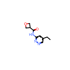 CCc1cnnc(NC(=O)C2COC2)c1